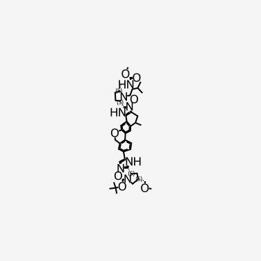 COC[C@H]1C[C@@H](c2ncc(-c3ccc4c(c3)COc3cc5c(cc3-4)C(C)Cc3nc([C@@H]4CC[C@H](C)N4C(=O)C(NC(=O)OC)C(C)C)[nH]c3-5)[nH]2)N(C(=O)OC(C)(C)C)C1